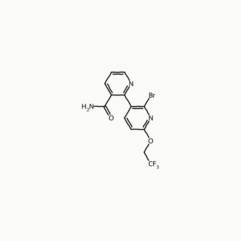 NC(=O)c1cccnc1-c1ccc(OCC(F)(F)F)nc1Br